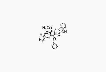 COc1c(CC2C(=O)Nc3ccccc32)nc(OCc2ccccc2)c(CC(C)C)[n+]1[O-]